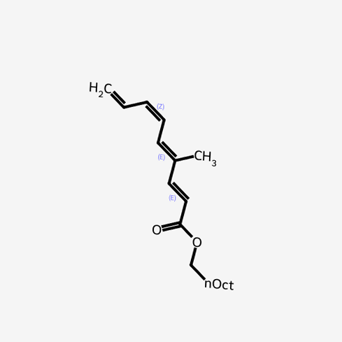 C=C\C=C/C=C(C)/C=C/C(=O)OCCCCCCCCC